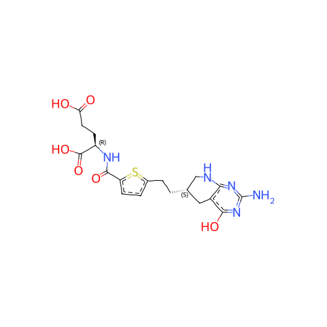 Nc1nc(O)c2c(n1)NC[C@@H](CCc1ccc(C(=O)N[C@H](CCC(=O)O)C(=O)O)s1)C2